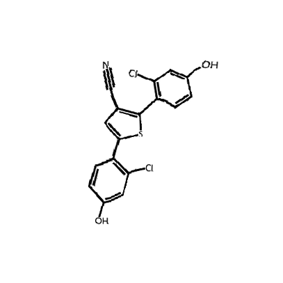 N#Cc1cc(-c2ccc(O)cc2Cl)sc1-c1ccc(O)cc1Cl